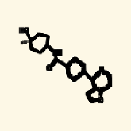 C[C@]1(O)CC[C@@H](NC(=O)c2ccc(-c3nccc4occc34)cc2)CC1